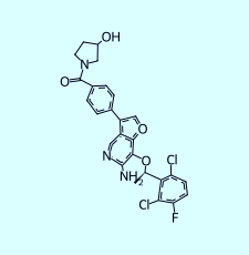 C[C@@H](Oc1c(N)ncc2c(-c3ccc(C(=O)N4CCC(O)C4)cc3)coc12)c1c(Cl)ccc(F)c1Cl